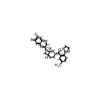 Cc1ccc(-n2nccn2)c(C(=O)N2CC[C@H]3CN(c4cnc5cc(F)c(F)cc5n4)[C@H]3C2)c1